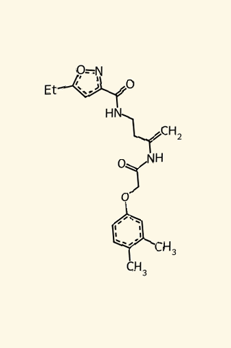 C=C(CCNC(=O)c1cc(CC)on1)NC(=O)COc1ccc(C)c(C)c1